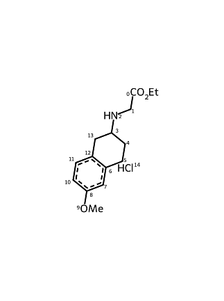 CCOC(=O)CNC1CCc2cc(OC)ccc2C1.Cl